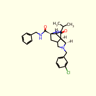 CC(C)C[C@@H]1[C@@H]2[C@@H]3C(=O)N[C@@]1(C(=O)NCc1ccccc1)CC3CN2Cc1cccc(Cl)c1